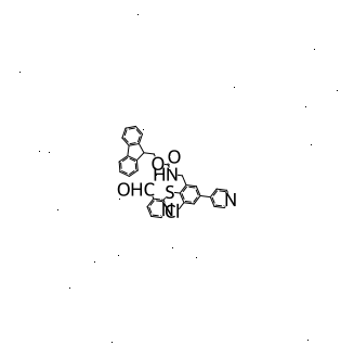 O=Cc1cccnc1Sc1c(Cl)cc(-c2ccncc2)cc1CNC(=O)OCC1c2ccccc2-c2ccccc21